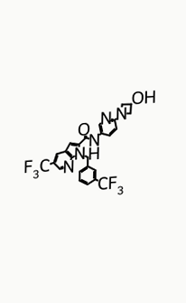 O=C(Nc1ccc(N2CC(O)C2)nc1)c1cc2cc(C(F)(F)F)cnc2n1Cc1cccc(C(F)(F)F)c1